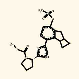 CC(C)(C)OC(=O)N1CCC[C@H]1c1nc(-c2ccc(OS(=O)(=O)C(F)(F)F)c3c2C2CCC2C3)c[nH]1